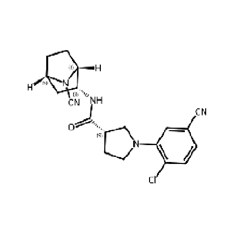 N#Cc1ccc(Cl)c(N2CC[C@H](C(=O)N[C@@H]3C[C@@H]4CC[C@H]3N4C#N)C2)c1